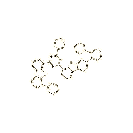 c1ccc(-c2nc(-c3cccc4c3oc3c(-c5ccccc5)cccc34)nc(-c3cccc4c3sc3cc(-c5ccccc5-c5ccccc5)ccc34)n2)cc1